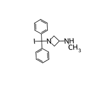 CNC1CN(C(I)(c2ccccc2)c2ccccc2)C1